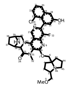 COCC1CCC2(COc3nc4c(F)c(-c5cc(O)cc6cccc(Cl)c56)ncc4c4c3N(C)C(=O)C3C5CCC(CN43)N5)CCCN12